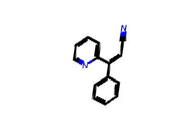 N#CC=C(c1ccccc1)c1ccccn1